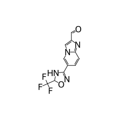 O=Cc1cn2cc(C3=NOC(C(F)(F)F)N3)ccc2n1